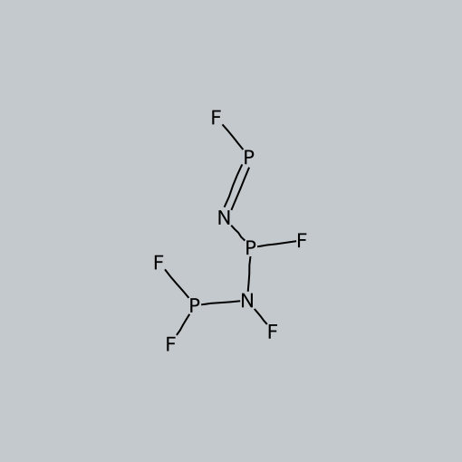 FP=NP(F)N(F)P(F)F